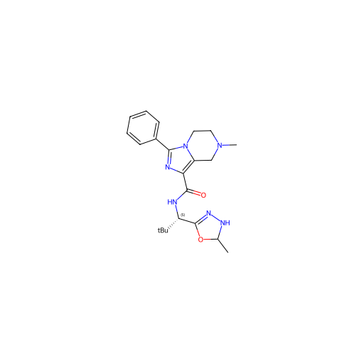 CC1NN=C([C@@H](NC(=O)c2nc(-c3ccccc3)n3c2CN(C)CC3)C(C)(C)C)O1